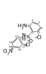 Nc1cccc(Cl)c1C(=O)Nc1ccc([N+](=O)[O-])cc1Cl